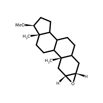 CO[C@H]1CCC2C3CCC4C[C@@H]5O[C@@H]5C[C@]4(C)C3CC[C@@]21C